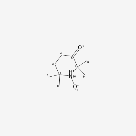 CC1(C)CCC(=O)C(C)(C)[NH+]1[O-]